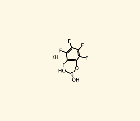 OB(O)Oc1c(F)c(F)c(F)c(F)c1F.[KH]